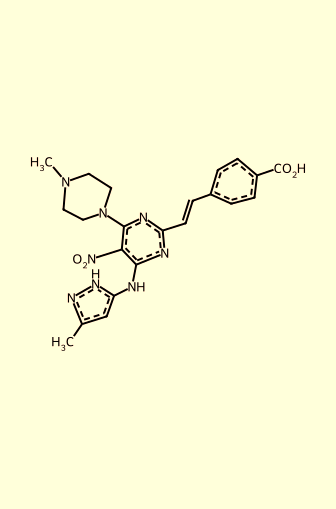 Cc1cc(Nc2nc(/C=C/c3ccc(C(=O)O)cc3)nc(N3CCN(C)CC3)c2[N+](=O)[O-])[nH]n1